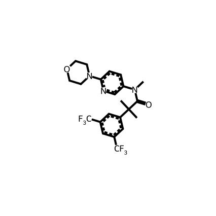 CN(C(=O)C(C)(C)c1cc(C(F)(F)F)cc(C(F)(F)F)c1)c1ccc(N2CCOCC2)nc1